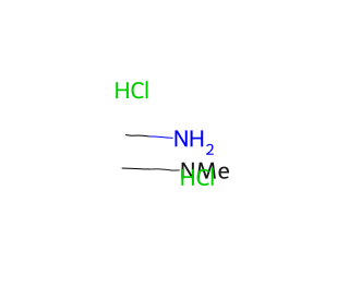 CN.CNC.Cl.Cl